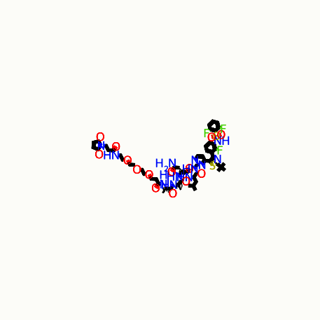 CC(C)CC(NC(=O)[C@@H](CC(N)=O)NC(=O)[C@@H](C)NC(=O)[C@@H](C)NC(=O)CCOCCOCCOCCNC(=O)CCN1C(=O)C=CC1=O)C(=O)Nc1nccc(-c2sc(C(C)(C)C)nc2-c2cccc(NS(=O)(=O)c3c(F)cccc3F)c2F)n1